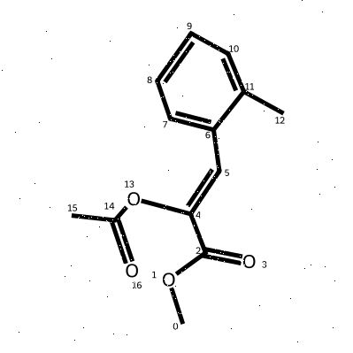 COC(=O)C(=Cc1ccccc1C)OC(C)=O